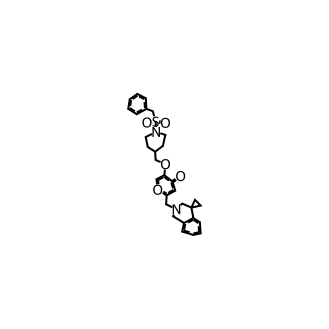 O=c1cc(CN2Cc3ccccc3C3(CC3)C2)occ1OCC1CCN(S(=O)(=O)Cc2ccccc2)CC1